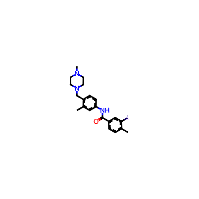 Cc1ccc(C(=O)Nc2ccc(CN3CCN(C)CC3)c(C)c2)cc1I